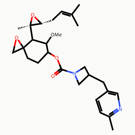 COC1C(OC(=O)N2CC(Cc3ccc(C)nc3)C2)CCC2(CO2)C1[C@@]1(C)O[C@@H]1CC=C(C)C